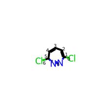 ClC1=CC=CC(Cl)N=N1